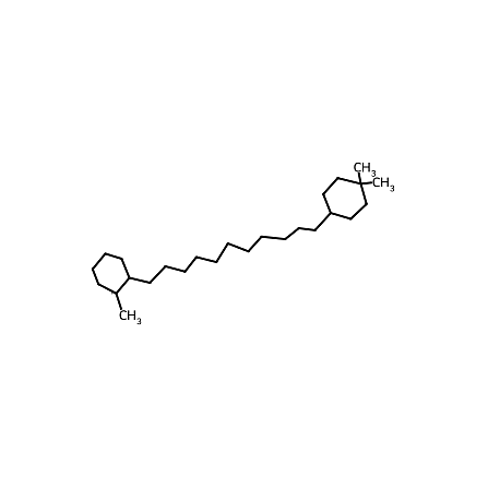 C[C]1CCCCC1CCCCCCCCCCCC1CCC(C)(C)CC1